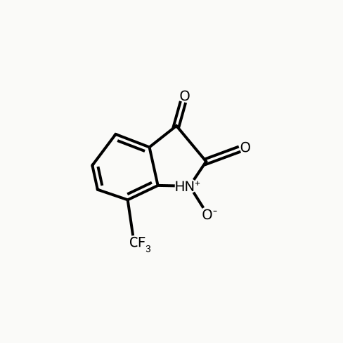 O=C1C(=O)[NH+]([O-])c2c1cccc2C(F)(F)F